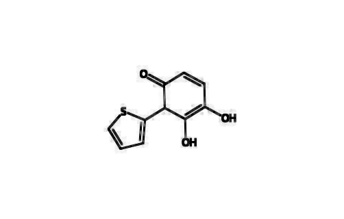 O=C1C=CC(O)=C(O)C1c1cccs1